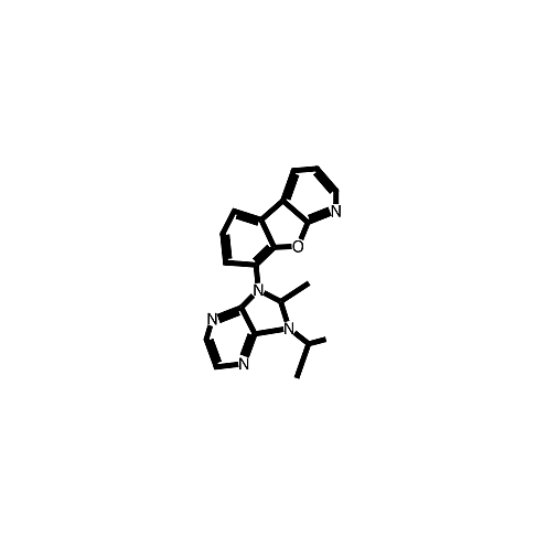 CC(C)N1c2nccnc2N(c2cccc3c2oc2ncccc23)C1C